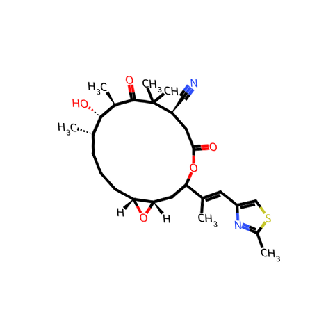 C/C(=C\c1csc(C)n1)C1C[C@@H]2O[C@@H]2CCC[C@H](C)[C@H](O)[C@@H](C)C(=O)C(C)(C)[C@@H](C#N)CC(=O)O1